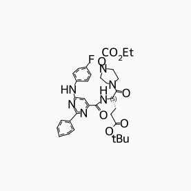 CCOC(=O)ON1CCN(C(=O)[C@H](CCC(=O)OC(C)(C)C)NC(=O)c2cc(Nc3ccc(F)cc3)nc(-c3ccccc3)n2)CC1